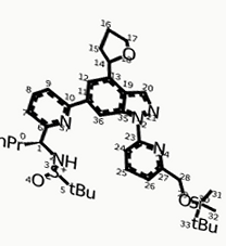 CCC[C@H](N[S+]([O-])C(C)(C)C)c1cccc(-c2cc(C3CCCO3)c3cnn(-c4cccc(CO[Si](C)(C)C(C)(C)C)n4)c3c2)n1